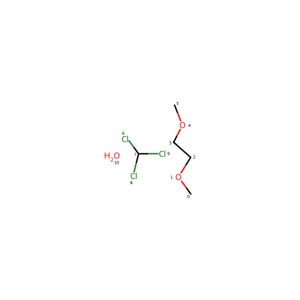 COCCOC.ClC(Cl)Cl.O